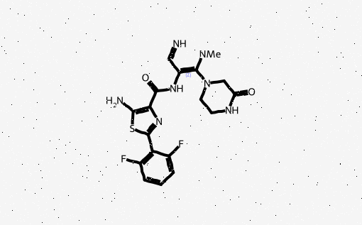 CN/C(=C(\C=N)NC(=O)c1nc(-c2c(F)cccc2F)sc1N)N1CCNC(=O)C1